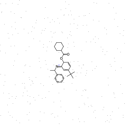 CC(/N=C1\C=C(C(C)(C)C)C=CC1OC(=O)C1CCCCC1)c1ccccc1